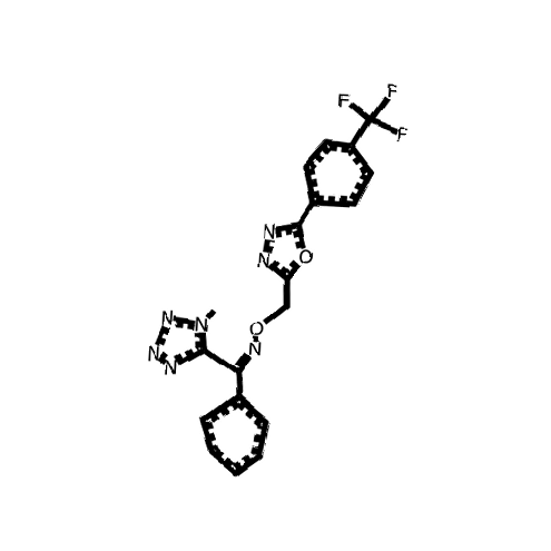 Cn1nnnc1/C(=N\OCc1nnc(-c2ccc(C(F)(F)F)cc2)o1)c1ccccc1